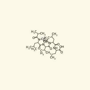 CCCC(NC(=O)C(CC(C)C)N(C)C(=O)C(C(C)C)N(C)C(=O)C(CC(C)C)N(C)C(=O)C(C)C)C(=O)O